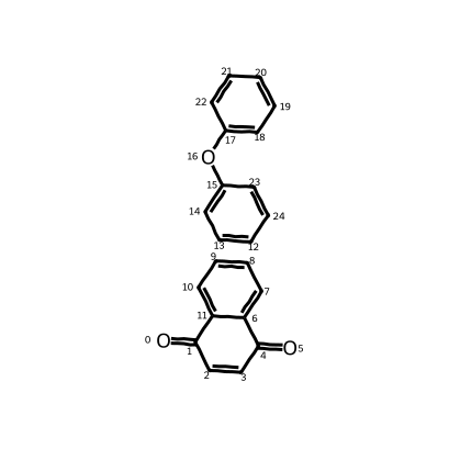 O=C1C=CC(=O)c2ccccc21.c1ccc(Oc2ccccc2)cc1